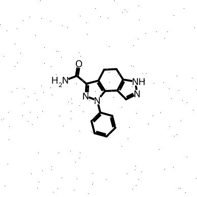 NC(=O)c1nn(-c2ccccc2)c2c1CCc1[nH]ncc1-2